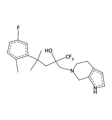 Cc1ccc(F)cc1C(C)(C)CC(O)(CN1CCc2cc[nH]c2C1)C(F)(F)F